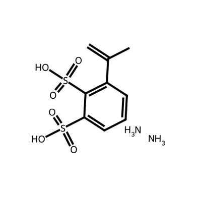 C=C(C)c1cccc(S(=O)(=O)O)c1S(=O)(=O)O.N.N